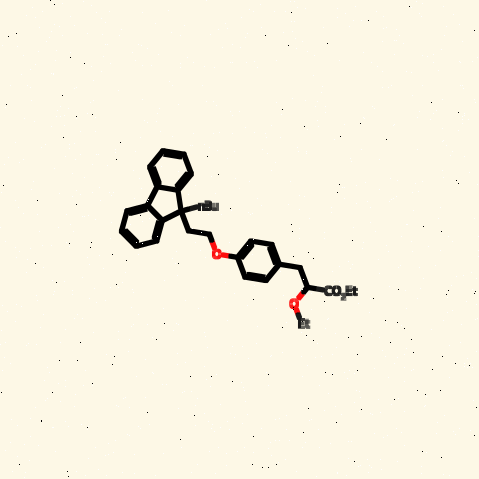 CCCCC1(CCOc2ccc(CC(OCC)C(=O)OCC)cc2)c2ccccc2-c2ccccc21